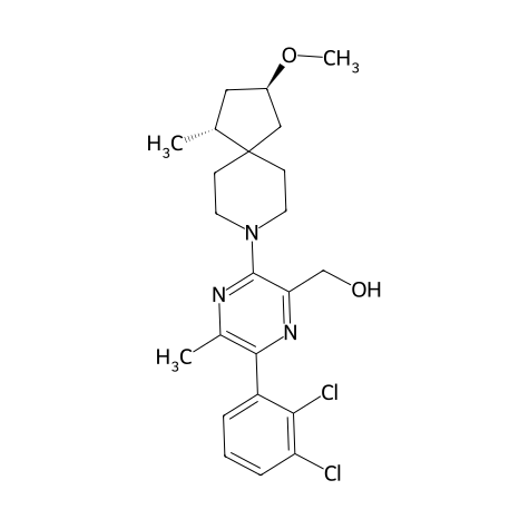 CO[C@@H]1C[C@@H](C)C2(CCN(c3nc(C)c(-c4cccc(Cl)c4Cl)nc3CO)CC2)C1